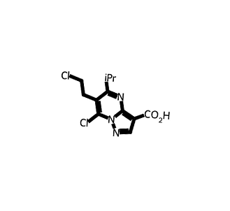 CC(C)c1nc2c(C(=O)O)cnn2c(Cl)c1CCCl